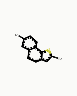 CC(=O)c1ccc2c(ccc3cc(C(C)=O)sc32)c1